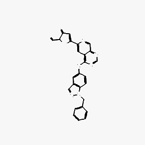 O=CC1OC(c2cc3c(Nc4ccc5c(cnn5Cc5ccccc5)c4)ncnc3cn2)=CC1=O